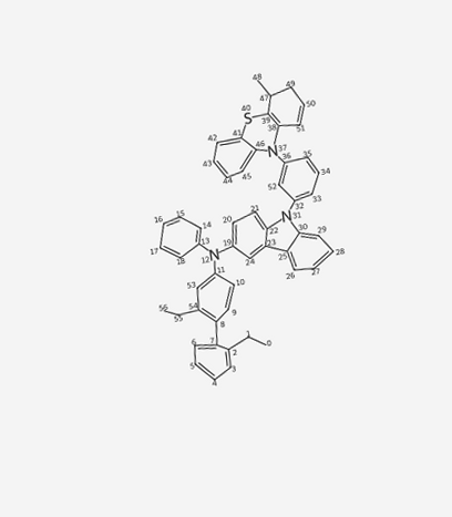 CCc1ccccc1-c1ccc(N(c2ccccc2)c2ccc3c(c2)c2ccccc2n3-c2cccc(N3C4=C(Sc5ccccc53)C(C)CC=C4)c2)cc1CC